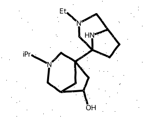 CCN1CC2CCC(C34CC(O)C(CN(C(C)C)C3)C4)(C1)N2